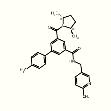 Cc1ccc(-c2cc(C(=O)NCc3ccc(C)nc3)cc(C(=O)N3[C@H](C)CC[C@H]3C)c2)cc1